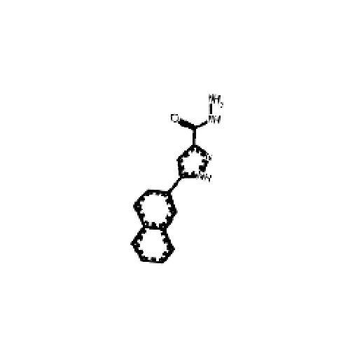 NNC(=O)c1cc(-c2ccc3ccccc3c2)[nH]n1